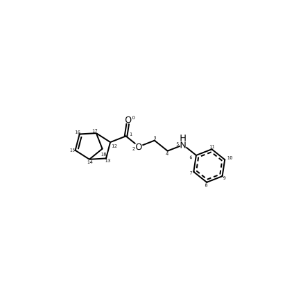 O=C(OCCNc1ccccc1)C1CC2C=CC1C2